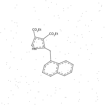 CCOC(=O)c1c[nH]c(Cc2cccc3ccccc23)c1C(=O)OCC